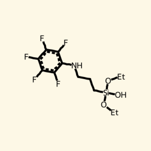 CCO[Si](O)(CCCNc1c(F)c(F)c(F)c(F)c1F)OCC